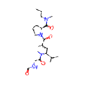 CCCN(C)C(=O)[C@@H]1CCCN1C(=O)/C(C)=C/C(C(C)C)N(C)C(=O)CNC=O